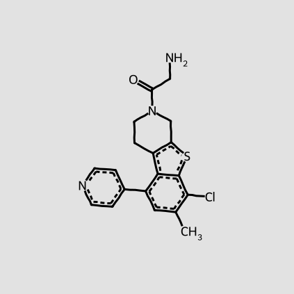 Cc1cc(-c2ccncc2)c2c3c(sc2c1Cl)CN(C(=O)CN)CC3